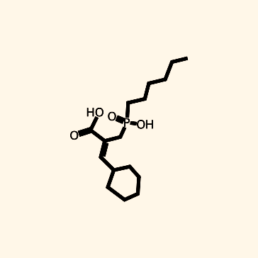 CCCCCCP(=O)(O)CC(=CC1CCCCC1)C(=O)O